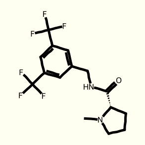 CN1CCC[C@H]1C(=O)NCc1cc(C(F)(F)F)cc(C(F)(F)F)c1